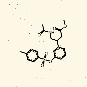 COC(=O)CC(CNC(C)=O)c1cccc(OS(=O)(=O)c2ccc(C)cc2)c1